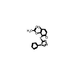 CC(=O)Oc1c(Cl)ccc(Cl)c1Sc1nnnn1-c1ccccc1